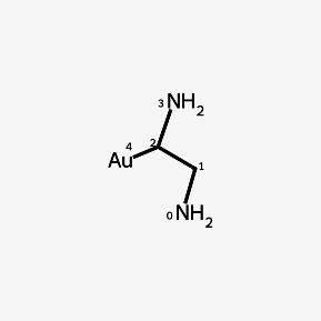 NC[CH](N)[Au]